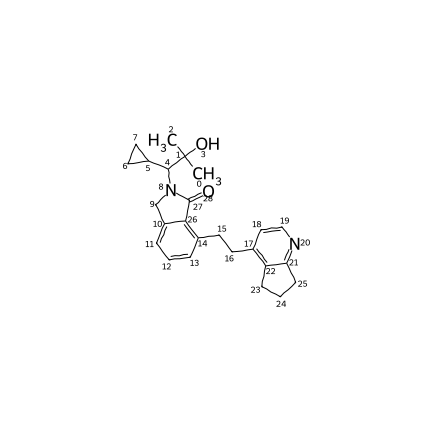 CC(C)(O)C(C1CC1)N1Cc2cccc(CCc3ccnc4c3CCC4)c2C1=O